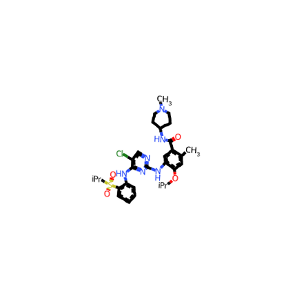 Cc1cc(OC(C)C)c(Nc2ncc(Cl)c(Nc3ccccc3S(=O)(=O)C(C)C)n2)cc1C(=O)NC1CCN(C)CC1